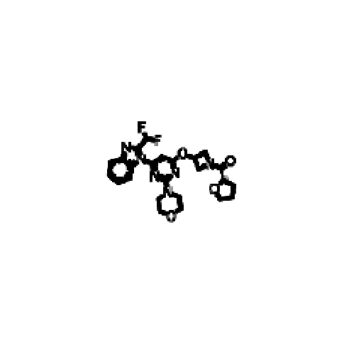 O=C([C@H]1CCCO1)N1CC(Oc2cc(-n3c(C(F)F)nc4ccccc43)nc(N3CCOCC3)n2)C1